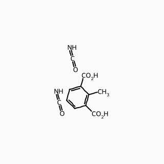 Cc1c(C(=O)O)cccc1C(=O)O.N=C=O.N=C=O